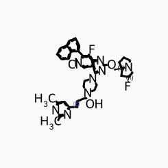 Cc1cc(/C=C/C(O)N2CCN(c3nc(OC[C@@]45CCCN4C[C@H](F)C5)nc4c(F)c(-c5cccc6cccc(Cl)c56)ncc34)CC2)nc(C)n1